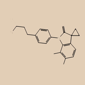 N[C@@H](CCc1ccc(N2C(=O)C3(CC3)c3ccc(F)c(F)c32)cc1)C(=O)O